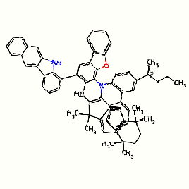 CCC[C@H](C)c1ccc(N2C3=C(Bc4c(-c5cccc6c5[nH]c5cc7ccccc7cc56)cc5c(oc6ccccc65)c42)C(C)(C)c2cc4c(cc23)C(C)(C)CCC4(C)C)c(-c2ccccc2)c1